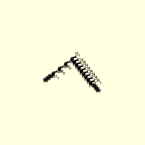 CCCC[n+]1ccn(C)c1.CCCC[n+]1ccn(C)c1.CCCC[n+]1ccn(C)c1.CCCC[n+]1ccn(C)c1.CCCC[n+]1ccn(C)c1.CCCC[n+]1ccn(C)c1.CCCC[n+]1ccn(C)c1.CCCC[n+]1ccn(C)c1.CCCC[n+]1ccn(C)c1.CCCC[n+]1ccn(C)c1.CCCC[n+]1ccn(C)c1.CCCC[n+]1ccn(C)c1.[O]=[Sb]([O-])([O-])[F].[O]=[Sb]([O-])([O-])[F].[O]=[Sb]([O-])([O-])[F].[O]=[Sb]([O-])([O-])[F].[O]=[Sb]([O-])([O-])[F].[O]=[Sb]([O-])([O-])[F]